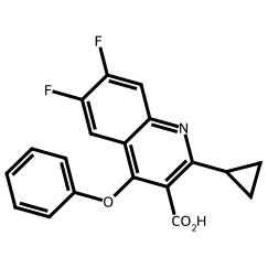 O=C(O)c1c(C2CC2)nc2cc(F)c(F)cc2c1Oc1ccccc1